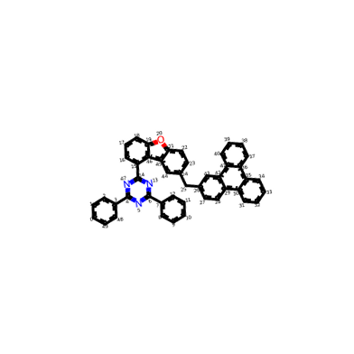 c1ccc(-c2nc(-c3ccccc3)nc(-c3cccc4oc5ccc(Cc6ccc7c8ccccc8c8ccccc8c7c6)cc5c34)n2)cc1